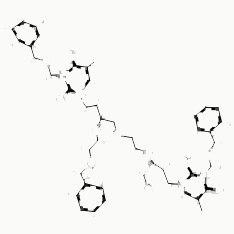 Cc1cn(CCC(COCCO[C@H](CO)CCn2cc(C)c(=O)n(COCc3ccccc3)c2=O)OCCOCc2ccccc2)c(=O)n(COCc2ccccc2)c1=O